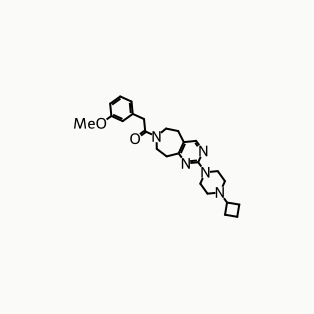 COc1cccc(CC(=O)N2CCc3cnc(N4CCN(C5CCC5)CC4)nc3CC2)c1